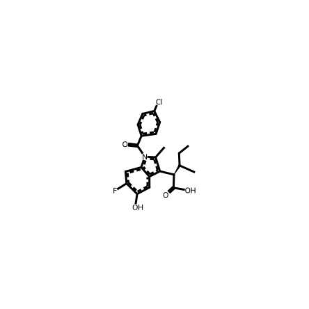 CCC(C)[C@@H](C(=O)O)c1c(C)n(C(=O)c2ccc(Cl)cc2)c2cc(F)c(O)cc12